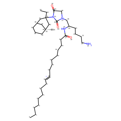 CCCCCCCC/C=C/CCCCCCCC(=O)NC(CCCCN)CN1CC(=O)N(C2(CC)CC3CCC[C@@H](C3)C2)C1=O